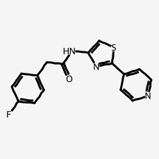 O=C(Cc1ccc(F)cc1)Nc1csc(-c2ccncc2)n1